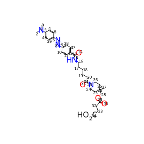 CN(C)c1ccc(/N=N/c2ccc(C(=O)NCCCCCC(=O)N3CCC(C)(COC(=O)CCC(=O)O)CC3)cc2)cc1